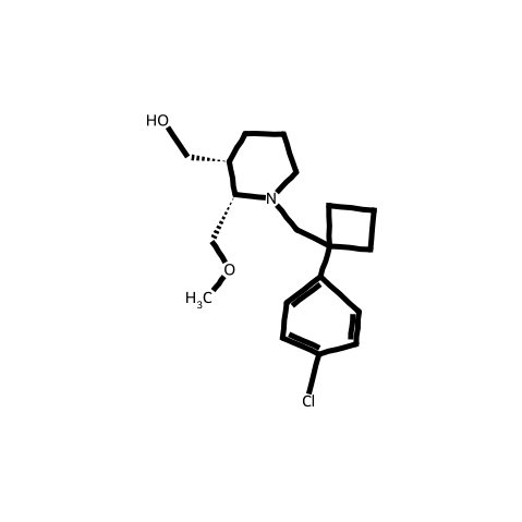 COC[C@@H]1[C@H](CO)CCCN1CC1(c2ccc(Cl)cc2)CCC1